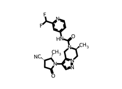 C[C@H]1Cn2ncc(N3C(=O)C[C@H](C#N)[C@@H]3C)c2CN1C(=O)Nc1ccnc(C(F)F)c1